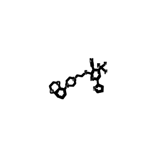 N#Cc1c(C(F)(F)F)cc(-c2cccs2)nc1SCCN1CCN(c2cccc3c2OCCO3)CC1